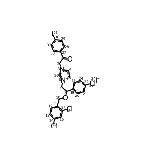 O=C(Cn1cc[n+](CC(OCc2ccc(Cl)cc2Cl)c2ccc(Cl)cc2)c1)c1ccc(I)cc1.[I-]